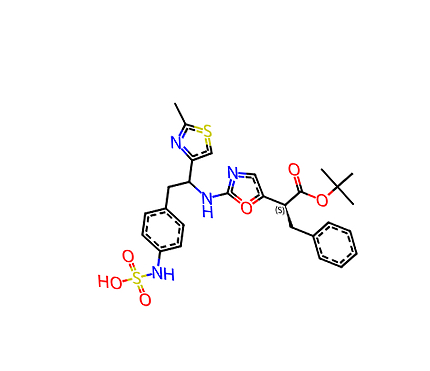 Cc1nc(C(Cc2ccc(NS(=O)(=O)O)cc2)Nc2ncc([C@H](Cc3ccccc3)C(=O)OC(C)(C)C)o2)cs1